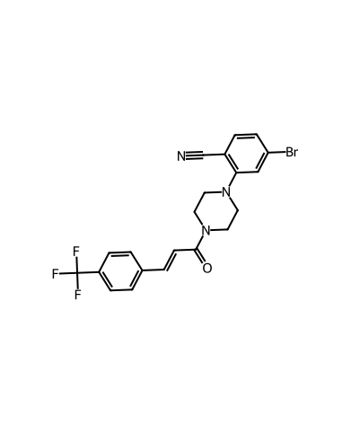 N#Cc1ccc(Br)cc1N1CCN(C(=O)C=Cc2ccc(C(F)(F)F)cc2)CC1